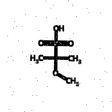 COC(C)(C)S(=O)(=O)O